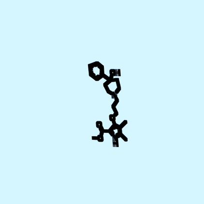 COC(=O)c1[nH]c(C)c(C)c1OCCCN1CCC(O)(c2ccccc2)CC1